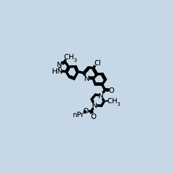 CCCOC(=O)N1CCN(C(=O)c2ccc3c(Cl)cc(-c4ccc5[nH]nc(C)c5c4)nc3c2)[C@@H](C)C1